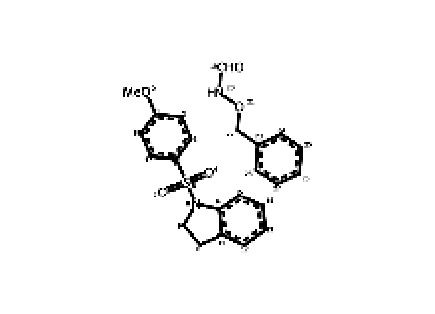 COc1ccc(S(=O)(=O)N2CCc3ccccc32)cc1.O=CNOCc1ccccc1